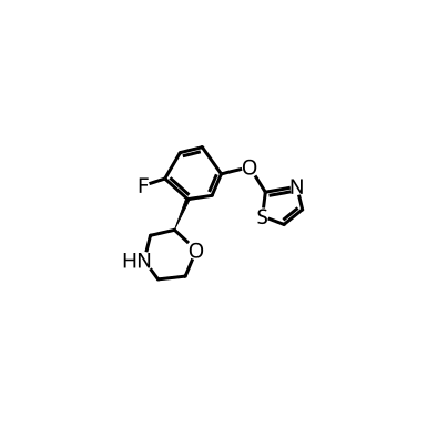 Fc1ccc(Oc2nccs2)cc1[C@@H]1CNCCO1